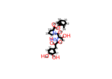 CC(O)C(NC(=O)C(O)Cc1ccc(O)c(O)c1)C(=O)N1CCCC1C(=O)OC1CC2CCC1(C)C2(C)C